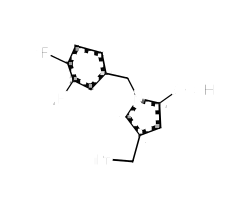 CC(C)Cc1cc(C(=O)O)n(Cc2ccc(F)c(F)c2)c1